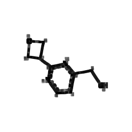 OCc1ccnc(C2COC2)n1